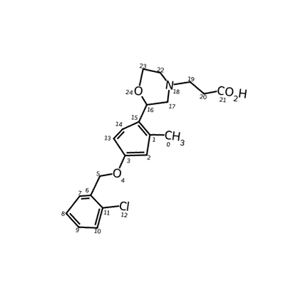 Cc1cc(OCc2ccccc2Cl)ccc1C1CN(CCC(=O)O)CCO1